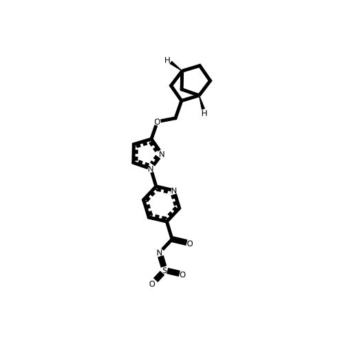 O=C(N=S(=O)=O)c1ccc(-n2ccc(OCC3C[C@@H]4CC[C@H]3C4)n2)nc1